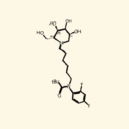 CC(C)(C)C(=O)N(CCCCCCN1C[C@H](O)C(O)[C@H](O)[C@H]1CO)c1ccc(F)cc1F